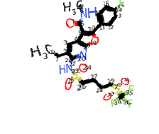 CCc1cc2c(C(=O)NC)c(-c3ccc(F)cc3)oc2nc1NS(=O)(=O)CCCCS(=O)(=O)C(F)(F)F